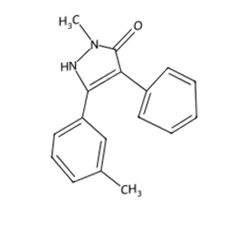 Cc1cccc(-c2[nH]n(C)c(=O)c2-c2ccccc2)c1